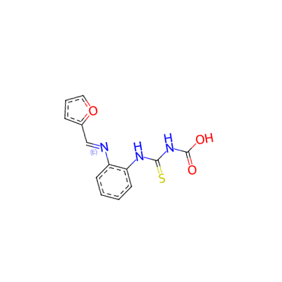 O=C(O)NC(=S)Nc1ccccc1/N=C/c1ccco1